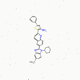 Nc1cc(-c2ccccc2)sc1-c1ccc2cc(-c3nc4cc(C(=O)O)ccc4n3C3CCCCC3)ccc2n1